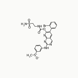 C[S+]([O-])c1cccc(Nc2ncc3cc(-c4ccccc4Br)c(OC(=O)NCCS(N)(=O)=O)nc3n2)c1